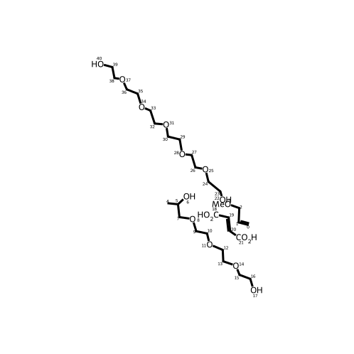 C=CCOC.CC(O)COCCOCCOCCO.O=C(O)C=CC(=O)O.OCCOCCOCCOCCOCCOCCO